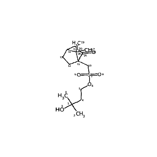 CC(C)(O)CCOS(=O)(=O)CC12CCC(CC1=O)C2(C)C